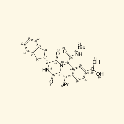 CC(C)C[C@@H]1C(=O)N[C@H](C2Cc3ccccc3C2)C(=O)N1C(C(=O)NC(C)(C)C)c1cccc(B(O)O)c1